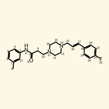 Cc1cccc(NC(=O)CCN2CCN(CC=Cc3ccc(F)cc3)CC2)c1